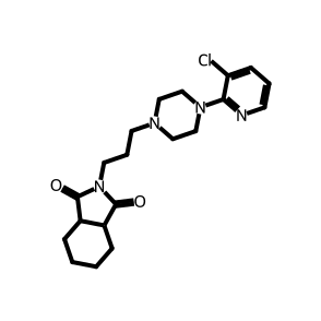 O=C1C2CCCCC2C(=O)N1CCCN1CCN(c2ncccc2Cl)CC1